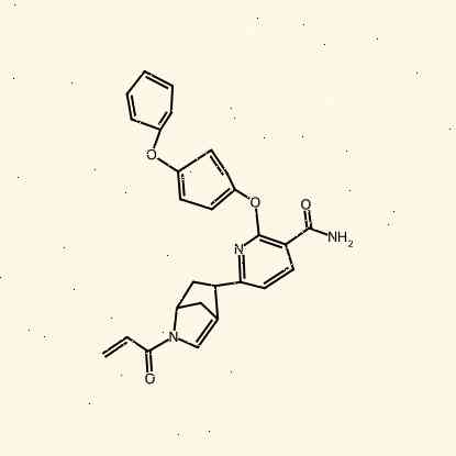 C=CC(=O)N1C=C2CC1CC2c1ccc(C(N)=O)c(Oc2ccc(Oc3ccccc3)cc2)n1